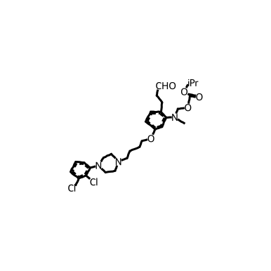 CC(C)OC(=O)OCN(C)c1cc(OCCCCN2CCN(c3cccc(Cl)c3Cl)CC2)ccc1CCC=O